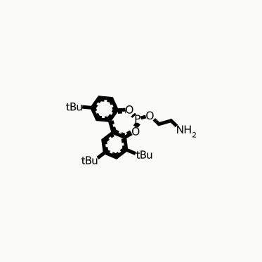 CC(C)(C)c1ccc2op(OCCN)oc3c(C(C)(C)C)cc(C(C)(C)C)cc3c2c1